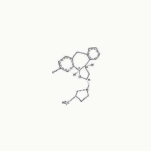 O=C(O)C1CCN(C[C@H]2C[C@@H]3c4ccccc4Cc4ccc(F)cc4[C@@H]3O2)C1